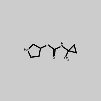 O=C(NC1(C(F)(F)F)CC1)OC1CCNC1